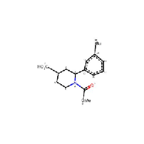 COC(=O)N1CCC(C(=O)O)CC1c1cccc(C(C)(C)C)c1